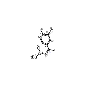 C/C(=N/[S+]([O-])C(C)(C)C)c1ccn(C)c(=O)c1